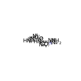 CN(N)/C=C(\N)c1ccc2cnc(NC(=O)c3ccnc(N4CCNCC4)c3)cc2c1